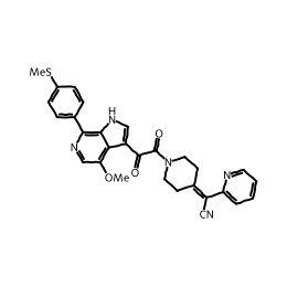 COc1cnc(-c2ccc(SC)cc2)c2[nH]cc(C(=O)C(=O)N3CCC(=C(C#N)c4ccccn4)CC3)c12